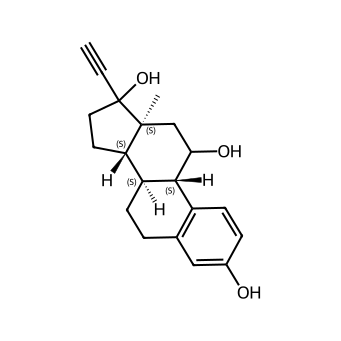 C#CC1(O)CC[C@H]2[C@@H]3CCc4cc(O)ccc4[C@H]3C(O)C[C@@]21C